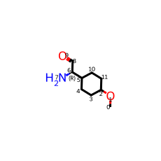 COC1CCC([C@@H](N)C=O)CC1